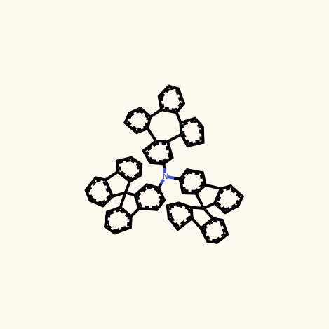 c1ccc2c(c1)-c1ccccc1-c1ccc(N(c3ccc4c(c3)C3(c5ccccc5-c5ccccc53)c3ccccc3-4)c3ccc4c(c3)C3(c5ccccc5-c5ccccc53)c3ccccc3-4)cc1-c1ccccc1-2